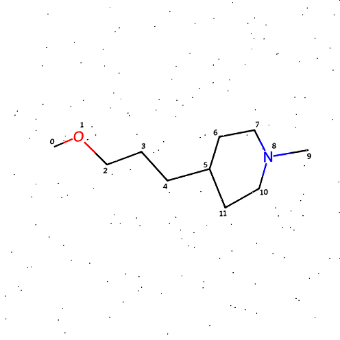 COCCCC1CCN(C)CC1